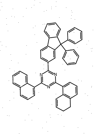 C1=Cc2c(cccc2-c2nc(-c3ccc4c(c3)C(c3ccccc3)(c3ccccc3)c3ccccc3-4)nc(-c3cccc4ccccc34)n2)CC1